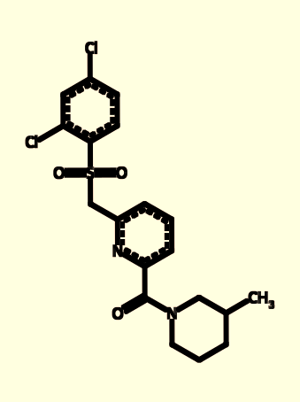 CC1CCCN(C(=O)c2cccc(CS(=O)(=O)c3ccc(Cl)cc3Cl)n2)C1